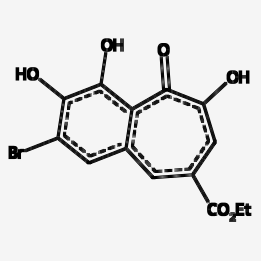 CCOC(=O)c1cc(O)c(=O)c2c(O)c(O)c(Br)cc2c1